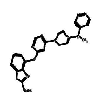 CC(=O)Nc1nc2c(Oc3cc(N4CCN([C@H](C)c5ccncc5)CC4)ncn3)cccc2s1